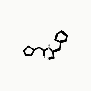 O=[C]C(=Cc1ccccc1)NC(=O)CC1CCCC1